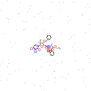 CCCOC(=O)[C@H](C)N[PH](O)(OC[C@H]1O[C@@H](n2ccc(=O)[nH]c2=O)[C@](C)(F)[C@@H]1OCc1ccccc1)Oc1ccccc1